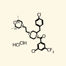 C[C@@H]1CN(CCN2CCN(C(=O)c3cc(Cl)cc(C(F)(F)F)c3)C(Cc3ccc(Cl)cc3)C2)C[C@H](C)O1.Cl.Cl